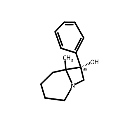 CC12CCCCN1C[C@]2(O)c1ccccc1